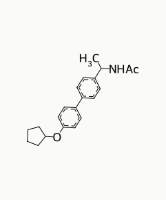 CC(=O)NC(C)c1ccc(-c2ccc(OC3CCCC3)cc2)cc1